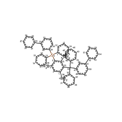 Bc1cc(B)c(S(c2ccccc2)(c2ccccc2)c2cccc(-c3ccccc3)c2)c(B)c1C(c1ccccc1)(c1ccccc1)c1cccc(-c2ccccc2)c1